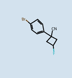 N#CC1(c2ccc(Br)cc2)CC(F)C1